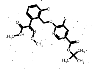 CNC(=O)C(=NOC)c1cccc(Cl)c1COc1ncc(C(=O)OC(C)(C)C)cc1Cl